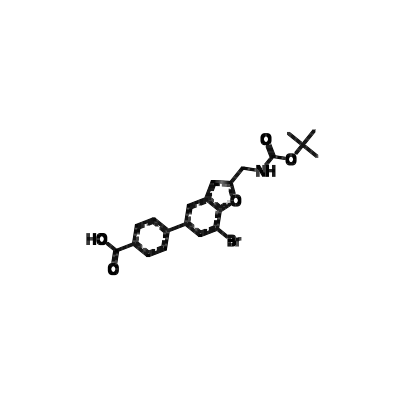 CC(C)(C)OC(=O)NCc1cc2cc(-c3ccc(C(=O)O)cc3)cc(Br)c2o1